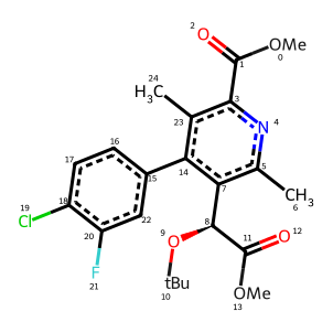 COC(=O)c1nc(C)c([C@H](OC(C)(C)C)C(=O)OC)c(-c2ccc(Cl)c(F)c2)c1C